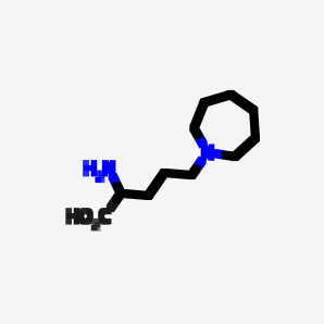 NC(CCCN1CCCCCC1)C(=O)O